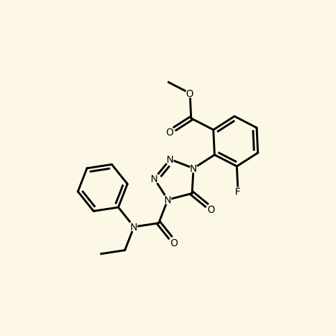 CCN(C(=O)n1nnn(-c2c(F)cccc2C(=O)OC)c1=O)c1ccccc1